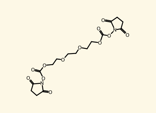 O=C(OCCOCCOCCOC(=O)ON1C(=O)CCC1=O)ON1C(=O)CCC1=O